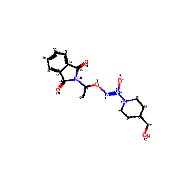 CC(ON=[N+]([O-])N1CCC(CO)CC1)N1C(=O)c2ccccc2C1=O